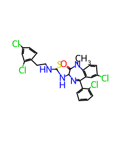 CN1C(=O)C(NC(=S)NCCc2ccc(Cl)cc2Cl)N=C(c2ccccc2Cl)c2cc(Cl)ccc21